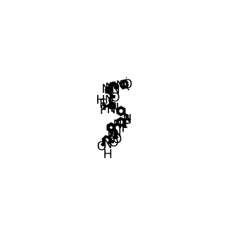 C[C@H]1CN(c2ccn3ncc(C(=O)Nc4cn([C@H]5CC[C@H](CN(C)C6CCN(c7cccc8c7n(C)c(=O)n8C7CCC(=O)NC7=O)CC6(F)F)CC5)nc4C(F)F)c3n2)C[C@H](C)O1